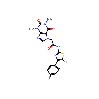 Cc1sc(NC(=O)Cn2cnc3c2c(=O)n(C)c(=O)n3C)nc1-c1ccc(Cl)cc1